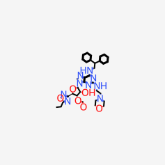 CCc1nc([C@H]2O[C@@H](n3cnc4c(NCC(c5ccccc5)c5ccccc5)nc(NCCN5CCOCC5)nc43)[C@H](O)[C@@H]2OC=O)no1